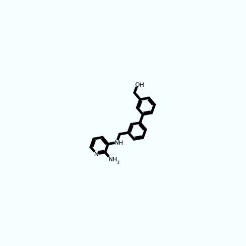 Nc1ncccc1NCc1cccc(-c2cccc(CO)c2)c1